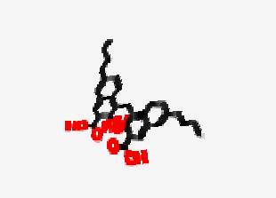 CCCCc1ccc2c(Cc3c(O)c(C(=O)O)cc4cc(CCCC)ccc34)c(O)c(C(=O)O)cc2c1